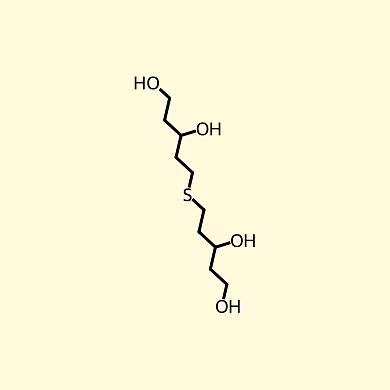 OCCC(O)CCSCCC(O)CCO